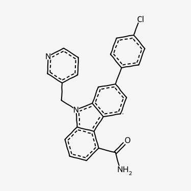 NC(=O)c1cccc2c1c1[c]cc(-c3ccc(Cl)cc3)cc1n2Cc1cccnc1